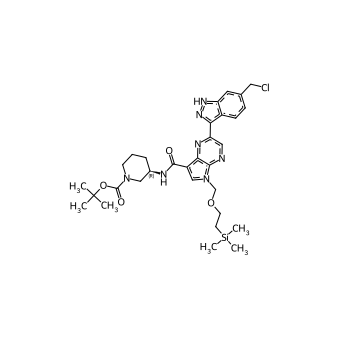 CC(C)(C)OC(=O)N1CCC[C@@H](NC(=O)c2cn(COCC[Si](C)(C)C)c3ncc(-c4n[nH]c5cc(CCl)ccc45)nc23)C1